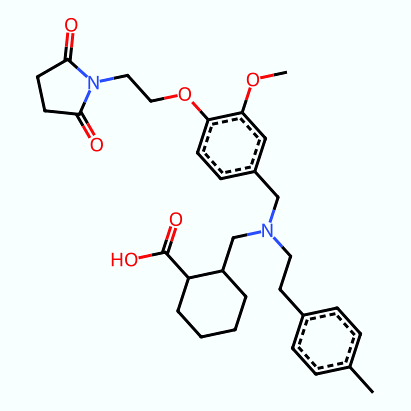 COc1cc(CN(CCc2ccc(C)cc2)CC2CCCCC2C(=O)O)ccc1OCCN1C(=O)CCC1=O